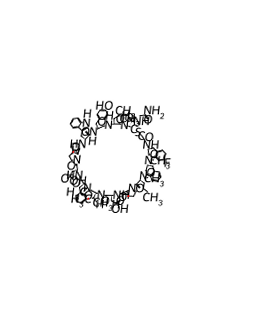 CCCC[C@H]1C(=O)N2CCC[C@@H]2C(=O)N[C@@H](CC(=O)O)C(=O)N[C@@H](C(C)C)C(=O)N(C)[C@@H](Cc2ccccc2)C(=O)N[C@@H](CC(=O)O)C(=O)N2CCC[C@@H]2C(=O)N[C@@H](Cc2c[nH]c3ccccc23)C(=O)N[C@@H](Cc2ccc(O)cc2)C(=O)N[C@@H](CC(C)C)C(=O)N[C@H](C(=O)NCC(N)=O)CSCC(=O)N[C@@H](Cc2ccc(F)cc2)C(=O)N(C)[C@@H](Cc2ccccc2)C(=O)N1C